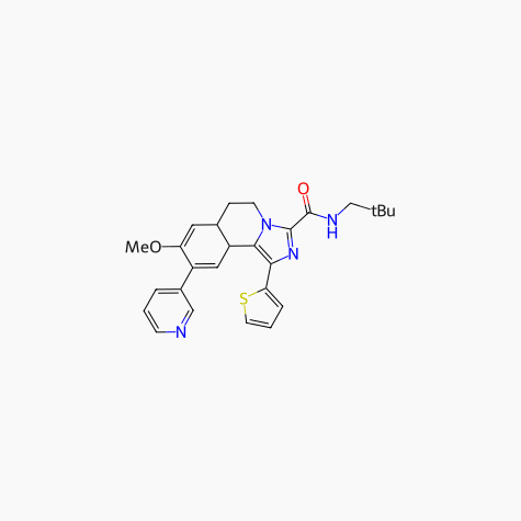 COC1=CC2CCn3c(C(=O)NCC(C)(C)C)nc(-c4cccs4)c3C2C=C1c1cccnc1